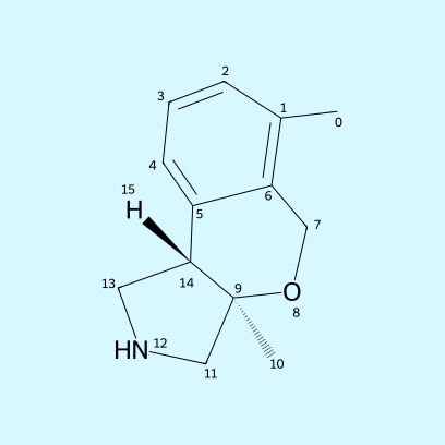 Cc1cccc2c1CO[C@@]1(C)CNC[C@H]21